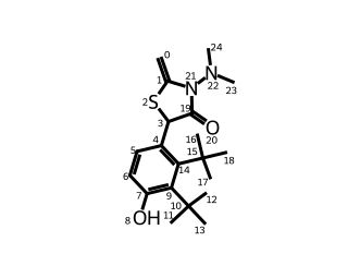 C=C1SC(c2ccc(O)c(C(C)(C)C)c2C(C)(C)C)C(=O)N1N(C)C